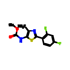 CC(C)(C)OC(=O)Nc1sc(-c2ccc(F)cc2F)nc1C(=O)O